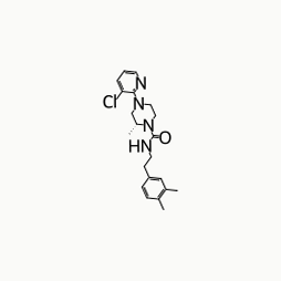 Cc1ccc(CCNC(=O)N2CCN(c3ncccc3Cl)C[C@H]2C)cc1C